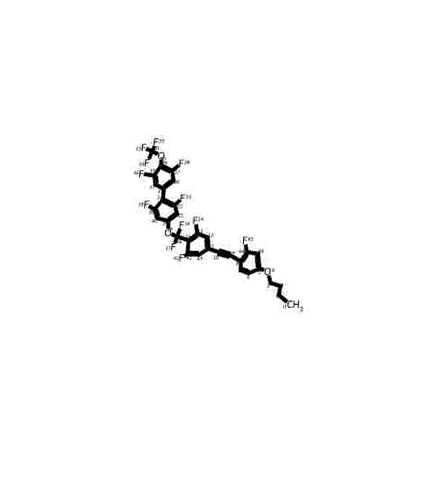 CCCCOc1ccc(C#Cc2cc(F)c(C(F)(F)Oc3cc(F)c(-c4cc(F)c(OC(F)(F)F)c(F)c4)c(F)c3)c(F)c2)c(F)c1